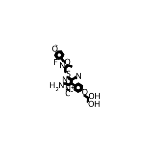 [C-]#[N+]c1c(N)nc(SCc2nc(-c3ccc(OC)cc3F)oc2C)c(C#N)c1-c1ccc(OC[C@@H](O)CO)cc1